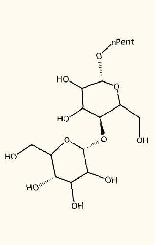 CCCCCO[C@@H]1OC(CO)[C@@H](O[C@H]2OC(CO)[C@@H](O)C(O)C2O)C(O)C1O